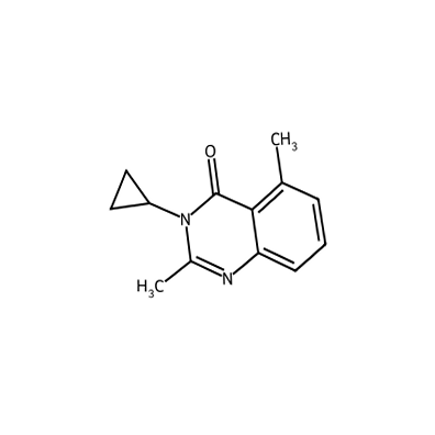 Cc1cccc2nc(C)n(C3CC3)c(=O)c12